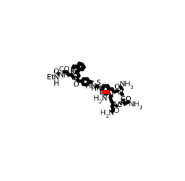 CCNC(=O)NC(CCCCN(Cc1nccc2ccccc12)C(=O)C1CCC(CNC(=S)Nc2ccc(CC3CN(CC(N)=O)CCN(CC(N)=O)CCN(CC(N)=O)CCN3CC(N)=O)cc2)CC1)C(=O)O